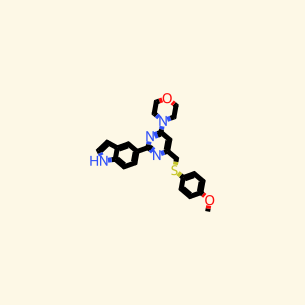 COc1ccc(SCc2cc(N3CCOCC3)nc(-c3ccc4[nH]ccc4c3)n2)cc1